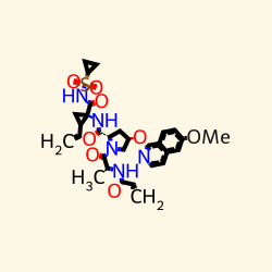 C=CC(=O)N[C@H](C)C(=O)N1C[C@H](Oc2nccc3cc(OC)ccc23)C[C@H]1C(=O)N[C@]1(C(=O)NS(=O)(=O)C2CC2)CC1C=C